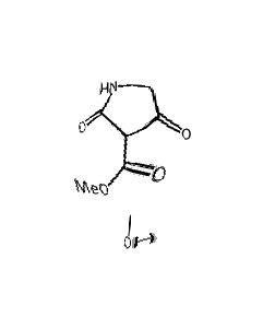 CO.COC(=O)C1C(=O)CNC1=O